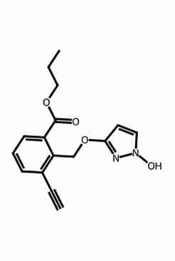 C#Cc1cccc(C(=O)OCCC)c1COc1ccn(O)n1